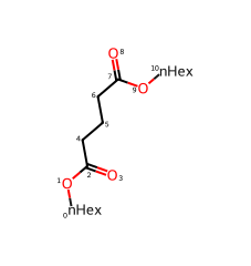 CCCCCCOC(=O)CCCC(=O)OCCCCCC